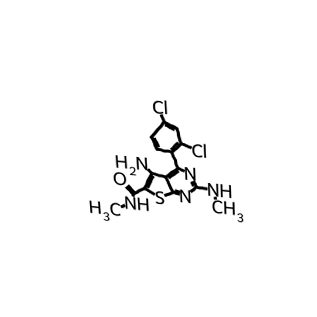 CNC(=O)c1sc2nc(NC)nc(-c3ccc(Cl)cc3Cl)c2c1N